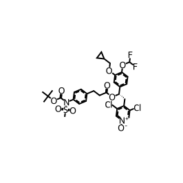 CC(C)(C)OC(=O)N(c1ccc(CCC(=O)O[C@@H](Cc2c(Cl)c[n+]([O-])cc2Cl)c2ccc(OC(F)F)c(OCC3CC3)c2)cc1)S(C)(=O)=O